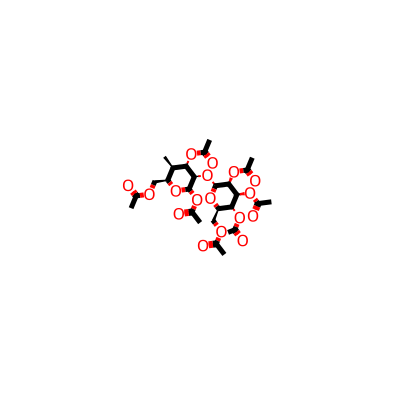 CC(=O)OC[C@@H]1OC(OC(C)=O)[C@@H](O[C@H]2O[C@H](COC(C)=O)[C@@H](OC(C)=O)[C@H](OC(C)=O)[C@@H]2OC(C)=O)[C@@H](OC(C)=O)[C@@H]1C